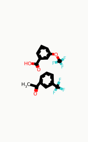 CC(=O)c1cccc(C(F)(F)F)c1.O=C(O)c1cccc(OC(F)(F)F)c1